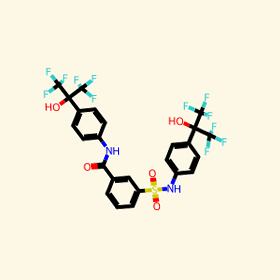 O=C(Nc1ccc(C(O)(C(F)(F)F)C(F)(F)F)cc1)c1cccc(S(=O)(=O)Nc2ccc(C(O)(C(F)(F)F)C(F)(F)F)cc2)c1